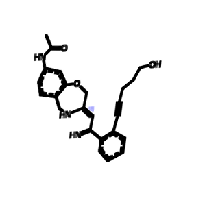 CC(=O)Nc1ccc2c(c1)OC/C(=C/C(=N)c1ccccc1C#CCCCO)NC2